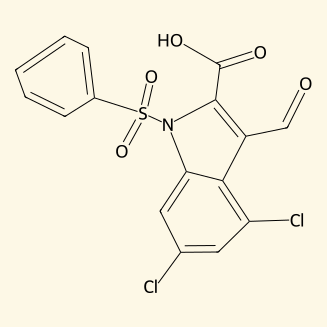 O=Cc1c(C(=O)O)n(S(=O)(=O)c2ccccc2)c2cc(Cl)cc(Cl)c12